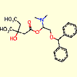 CN(C)C(COC(c1ccccc1)c1ccccc1)OC(=O)CC(O)(CC(=O)O)C(=O)O